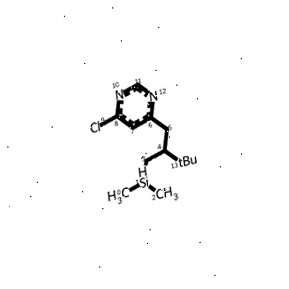 C[SiH](C)CC(Cc1cc(Cl)ncn1)C(C)(C)C